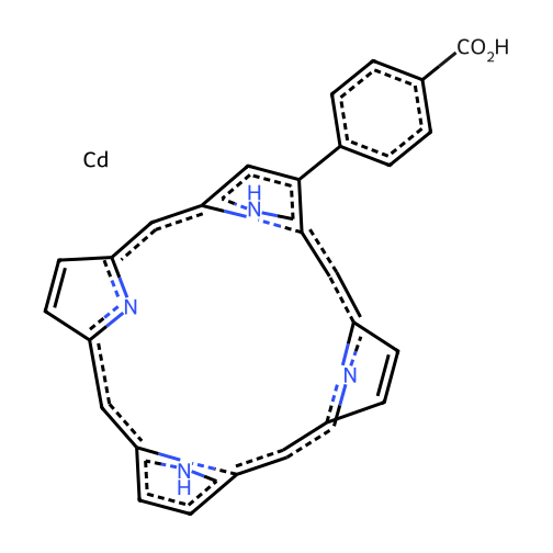 O=C(O)c1ccc(-c2cc3cc4nc(cc5ccc(cc6nc(cc2[nH]3)C=C6)[nH]5)C=C4)cc1.[Cd]